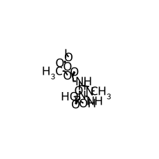 CC(OC(=O)CNC(=O)CN(C)C(=N)NP(=O)(O)O)OC(=O)OI